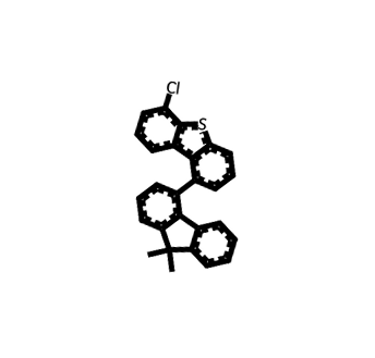 CC1(C)c2ccccc2-c2c(-c3cccc4sc5c(Cl)cccc5c34)cccc21